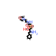 NC(CC1CCCCC1)[C@@H](O)CS(=O)(=O)CC(=O)NCCN1CCOCC1